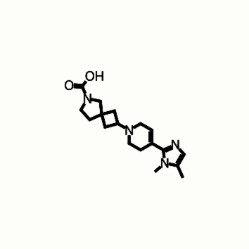 Cc1cnc(C2=CCN(C3CC4(CCN(C(=O)O)C4)C3)CC2)n1C